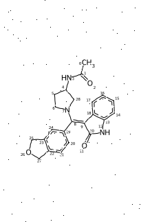 CC(=O)NC1CCN(C(=C2C(=O)Nc3ccccc32)c2ccc3c(c2)COC3)C1